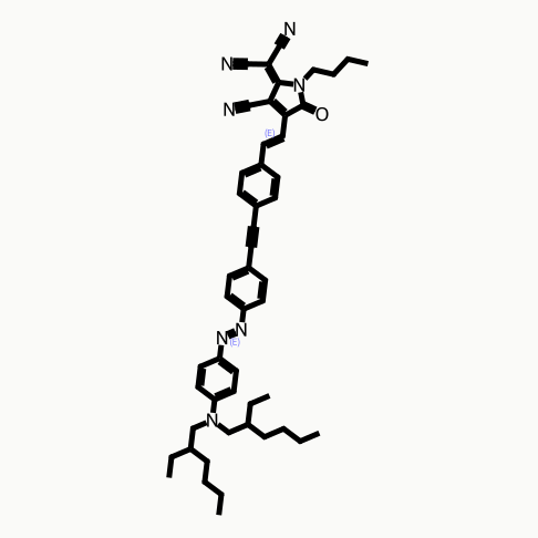 CCCCC(CC)CN(CC(CC)CCCC)c1ccc(/N=N/c2ccc(C#Cc3ccc(/C=C/C4=C(C#N)C(=C(C#N)C#N)N(CCCC)C4=O)cc3)cc2)cc1